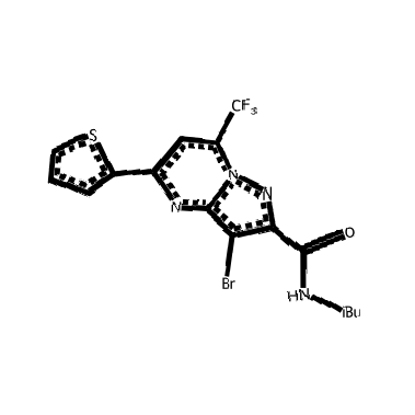 CCC(C)NC(=O)c1nn2c(C(F)(F)F)cc(-c3cccs3)nc2c1Br